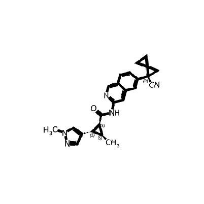 C[C@@H]1[C@H](C(=O)Nc2cc3cc([C@@]4(C#N)CC45CC5)ccc3cn2)[C@H]1c1cnn(C)c1